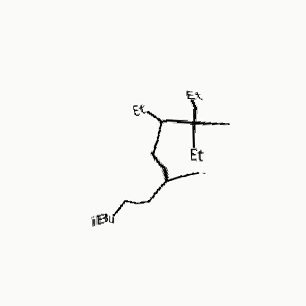 [CH2]C(CCC(C)CC)CC(CC)C(C)(CC)CC